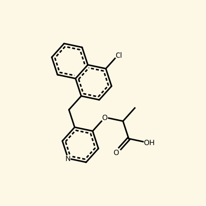 CC(Oc1ccncc1Cc1ccc(Cl)c2ccccc12)C(=O)O